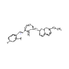 COc1ccc2ccc([C@H](CO)NC(=O)/C=C/c3ccc(F)cc3F)cc2c1